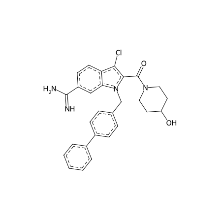 N=C(N)c1ccc2c(Cl)c(C(=O)N3CCC(O)CC3)n(Cc3ccc(-c4ccccc4)cc3)c2c1